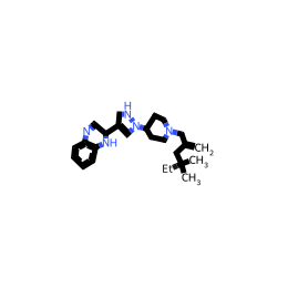 C=C(CN1CCC(N2C=C(C3C=Nc4ccccc4N3)CN2)CC1)CC(C)(C)CC